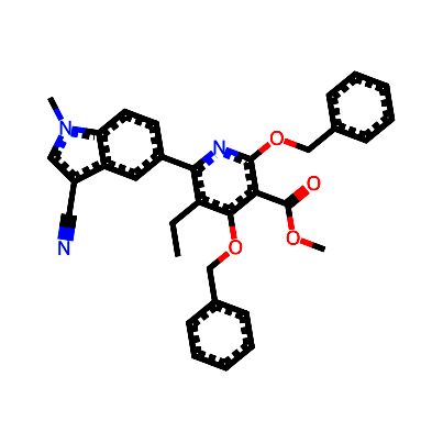 CCc1c(-c2ccc3c(c2)c(C#N)cn3C)nc(OCc2ccccc2)c(C(=O)OC)c1OCc1ccccc1